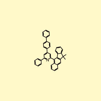 CC1(C)c2ccccc2-c2c1cc1ccccc1c2-c1cc(-c2ccc(-c3ccccc3)cc2)cc(-c2ccccc2)n1